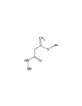 C=C(CC(=O)NC(C)(C)C)SC(C)C